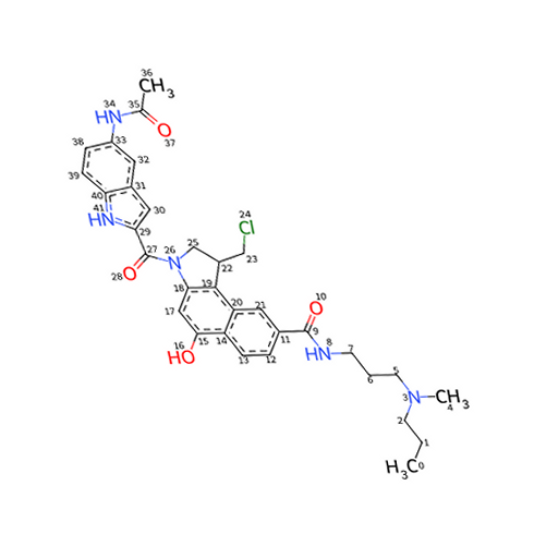 CCCN(C)CCCNC(=O)c1ccc2c(O)cc3c(c2c1)C(CCl)CN3C(=O)c1cc2cc(NC(C)=O)ccc2[nH]1